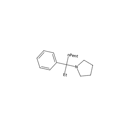 CCCCCC(CC)(c1ccccc1)N1CCCC1